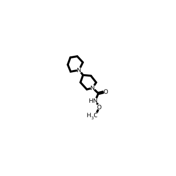 CONC(=O)N1CCC(N2CCCCC2)CC1